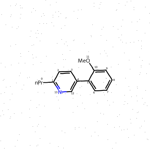 CCCc1ccc(-c2ccccc2OC)cn1